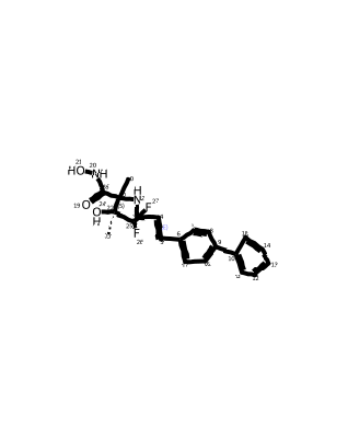 CC(NC/C=C/c1ccc(-c2ccccc2)cc1)(C(=O)NO)[C@](C)(O)C(F)F